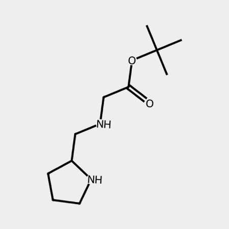 CC(C)(C)OC(=O)CNCC1CCCN1